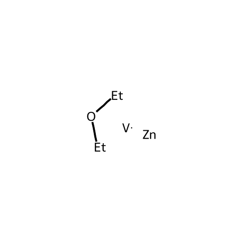 CCOCC.[V].[Zn]